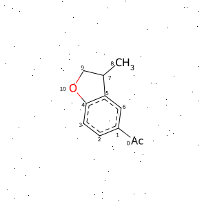 CC(=O)c1ccc2c(c1)C(C)CO2